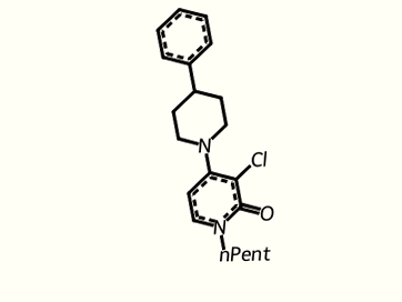 CCCCCn1ccc(N2CCC(c3ccccc3)CC2)c(Cl)c1=O